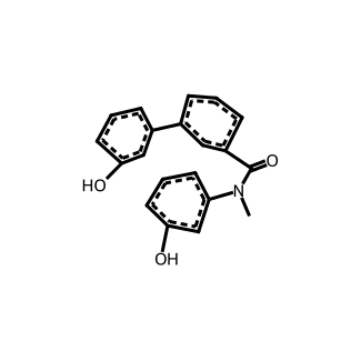 CN(C(=O)c1cccc(-c2cccc(O)c2)c1)c1cccc(O)c1